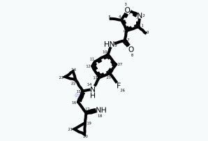 Cc1noc(C)c1C(=O)Nc1ccc(N/C(=C\C(=N)C2CC2)C2CC2)c(F)c1